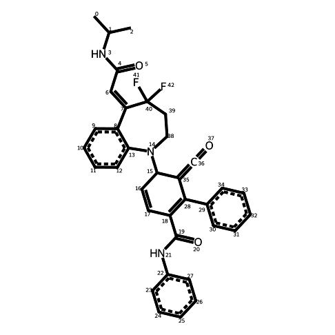 CC(C)NC(=O)C=C1c2ccccc2N(C2C=CC(C(=O)Nc3ccccc3)=C(c3ccccc3)C2=C=O)CCC1(F)F